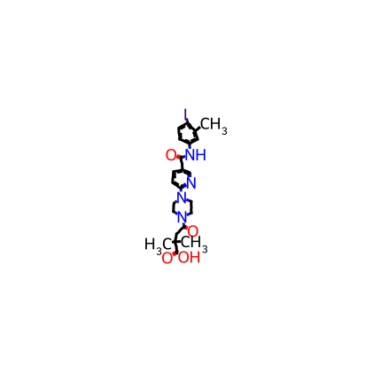 Cc1cc(NC(=O)c2ccc(N3CCN(C(=O)CC(C)(C)C(=O)O)CC3)nc2)ccc1I